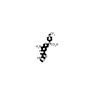 Cc1c(-c2cc3cc(N(C(=O)O)C4CCN(CC(F)(F)F)CC4)ncc3c(N)c2F)cnc2c1NCCO2